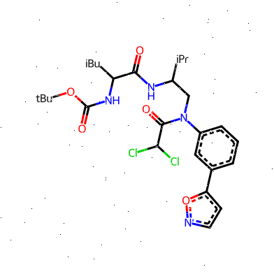 CCC(C)C(NC(=O)OC(C)(C)C)C(=O)NC(CN(C(=O)C(Cl)Cl)c1cccc(-c2ccno2)c1)C(C)C